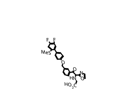 CSc1cc(F)c(F)cc1-c1ccc(OCc2cccc(C(=O)C(NCC(=O)O)c3ncco3)c2)cc1